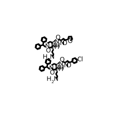 NCCC[C@@H]1N[C@H](CNC(=O)c2cc(-c3ccc(Cl)cc3)on2)CCN(CC(c2ccccc2)c2ccccc2)C1=O.NCCC[C@@H]1N[C@H](CNC(=O)c2cc(-c3ccco3)on2)CCN(CC(c2ccccc2)c2ccccc2)C1=O